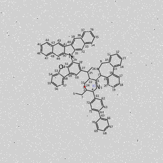 CCC(C)C(/N=C(/C1CCc2ccccc2-c2ccccc21)C(CC)C(C)c1cc(-n2c3cc4ccccc4cc3c3cc4ccccc4cc32)c2oc3ccccc3c2c1)c1ccc(-c2ccccc2)cc1